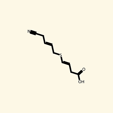 N#CCC=CCSC=CCC(=O)O